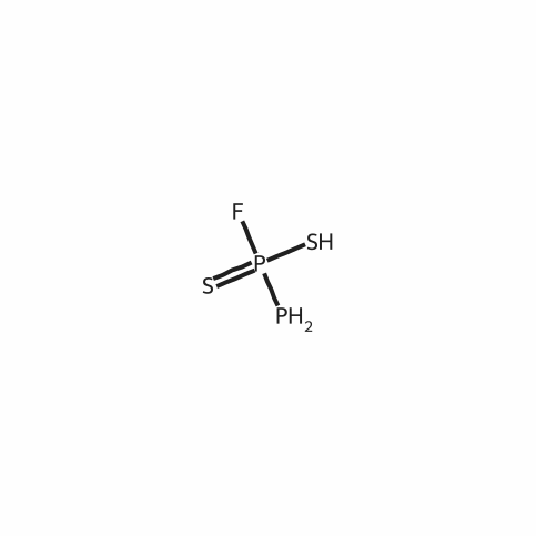 FP(P)(=S)S